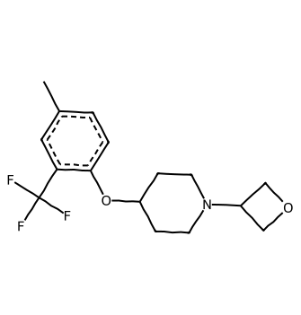 Cc1ccc(OC2CCN(C3COC3)CC2)c(C(F)(F)F)c1